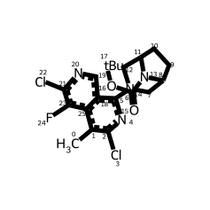 Cc1c(Cl)nc(N2CC3CCC(C2)N3C(=O)OC(C)(C)C)c2cnc(Cl)c(F)c12